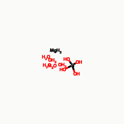 O.O.O.O.O.O[Si](O)(O)O.[MgH2]